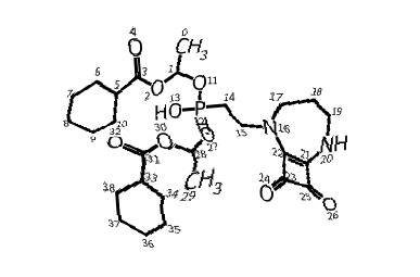 CC(OC(=O)C1CCCCC1)O[PH](O)(CCN1CCCNc2c1c(=O)c2=O)OC(C)OC(=O)C1CCCCC1